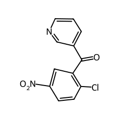 O=C(c1cccnc1)c1cc([N+](=O)[O-])ccc1Cl